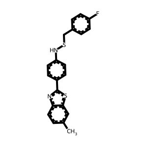 Cc1ccc2nc(-c3ccc(NSCc4ccc(F)cc4)cc3)sc2c1